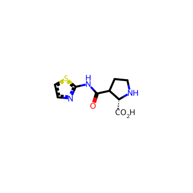 O=C(Nc1nccs1)C1CCN[C@@H]1C(=O)O